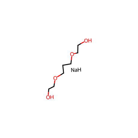 OCCOCCCOCCO.[NaH]